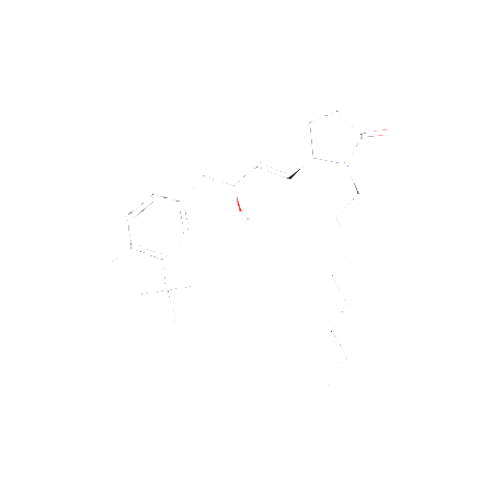 O=C1CC[C@H](/C=C/[C@@H](O)Cc2ccc(F)c(C(F)(F)F)c2)N1CCSCCCCO